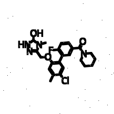 Cc1cc(OCC2=NNC(O)N2C)c(-c2cc(C(=O)N3CCCCC3)ccc2F)cc1Cl